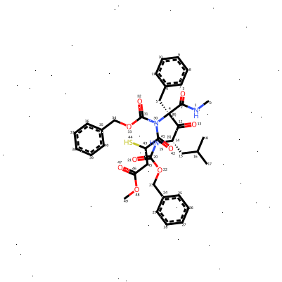 CNC(=O)[C@@](Cc1ccccc1)(C(=O)[C@H](CC(C)C)NC(=O)OCc1ccccc1)N(C(=O)OCc1ccccc1)C(=O)C(S)CC(=O)OC